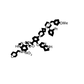 COc1ccc(CN2CCN(C3CC4(CCN(c5ccc(C(=O)NS(=O)(=O)c6cc([N+](=O)[O-])c(NCC7CCOCC7)c7[nH]cnc67)c(Oc6cnc7[nH]ccc7c6)c5)CC4)C3)[C@H](c3ccccc3C(C)C)C2)cc1